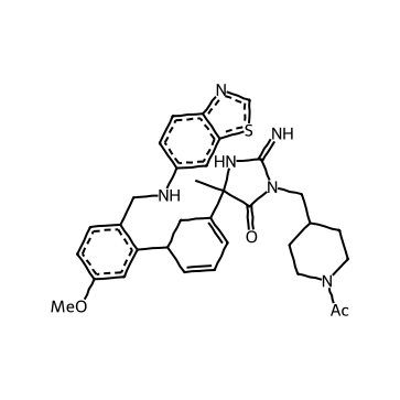 COc1ccc(CNc2ccc3ncsc3c2)c(C2C=CC=C(C3(C)NC(=N)N(CC4CCN(C(C)=O)CC4)C3=O)C2)c1